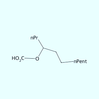 CCCCCCCC(CCC)OC(=O)O